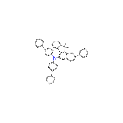 CC1(C)c2ccccc2-c2c(N(c3ccc(-c4ccccc4)cc3)c3ccc(-c4ccccc4)cc3)cc3ccc(-c4ccccc4)cc3c21